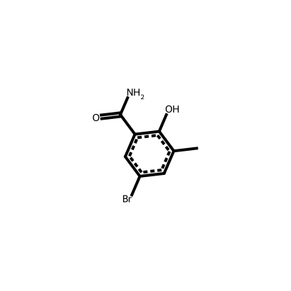 Cc1cc(Br)cc(C(N)=O)c1O